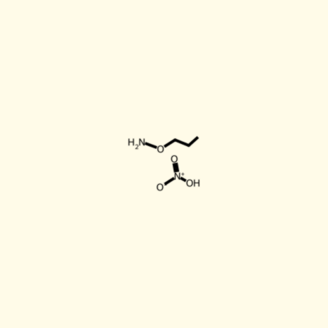 CCCON.O=[N+]([O-])O